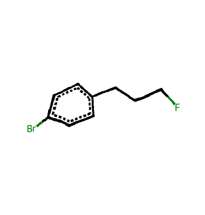 FCCCc1ccc(Br)cc1